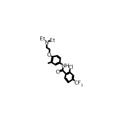 CCN(CC)CCOc1ccc(NC(=O)c2ccc(C(F)(F)F)cc2Cl)cc1C